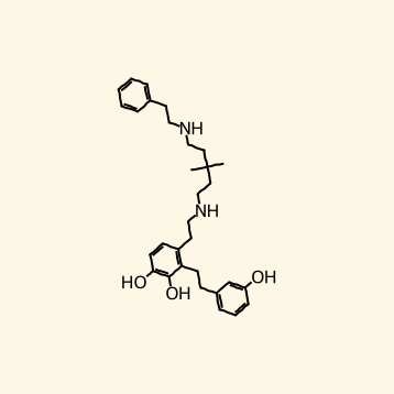 CC(C)(CCNCCc1ccccc1)CCNCCc1ccc(O)c(O)c1CCc1cccc(O)c1